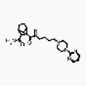 NC(=O)C1C2CCC(C2)C1C(=O)NCCCCN1CCN(c2ncccn2)CC1